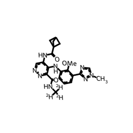 [2H]C([2H])([2H])NC(=O)c1nncc(NC(=O)C23CC(C2)C3)c1Nc1cccc(-c2ncn(C)n2)c1OC